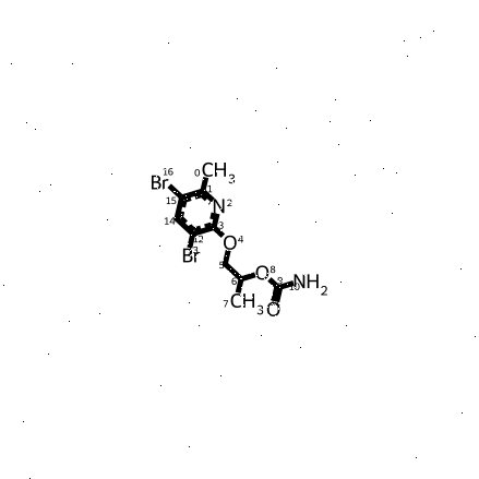 Cc1nc(OCC(C)OC(N)=O)c(Br)cc1Br